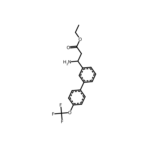 CCOC(=O)CC(N)c1cccc(-c2ccc(OC(F)(F)F)cc2)c1